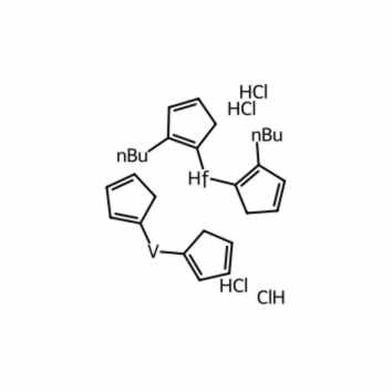 C1=CC[C]([V][C]2=CC=CC2)=C1.CCCCC1=[C]([Hf][C]2=C(CCCC)C=CC2)CC=C1.Cl.Cl.Cl.Cl